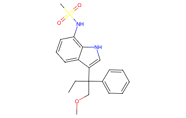 CCC(COC)(c1ccccc1)c1c[nH]c2c(NS(C)(=O)=O)cccc12